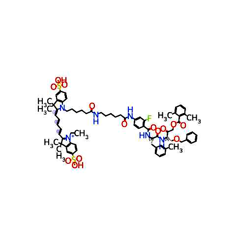 CC[N+]1=C(/C=C/C=C/C=C2\N(CCCCCC(=O)NCCCCCC(=O)Nc3ccc(C(=O)N[C@@H](Cc4cccc(C)c4)C(=O)N[C@@H](COCc4ccccc4)C(=O)COC(=O)c4c(C)cccc4C)c(F)c3)c3ccc(S(=O)(=O)O)cc3C2(C)C)C(C)(C)c2cc(S(=O)(=O)O)ccc21